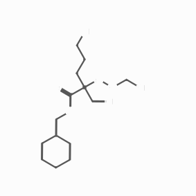 CCCCC(CC)(OOCC)C(=O)OCC1CCCCC1